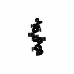 CC(=O)N1C[C@H]2C[C@@H](Nc3ncc4c(-c5cc(F)c6nccn6c5)c[nH]c4n3)C[C@H]2C1